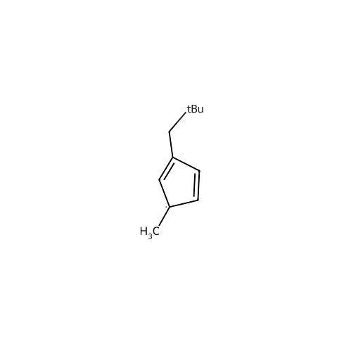 C[C]1C=CC(CC(C)(C)C)=C1